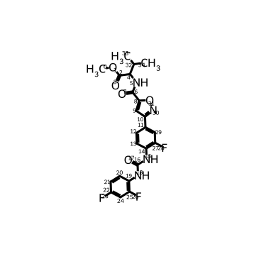 COC(=O)C(NC(=O)c1cc(-c2ccc(NC(=O)Nc3ccc(F)cc3F)c(F)c2)no1)C(C)C